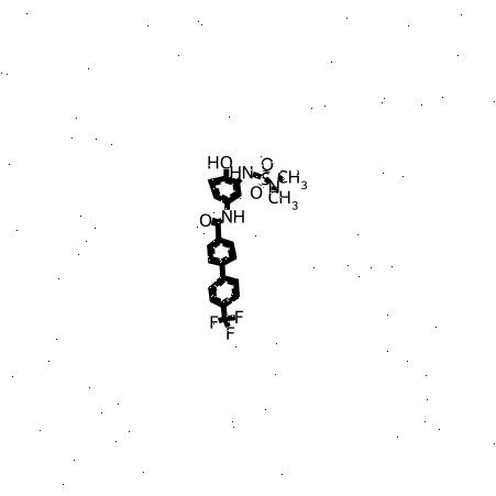 CN(C)S(=O)(=O)Nc1cc(NC(=O)c2ccc(-c3ccc(C(F)(F)F)cc3)cc2)ccc1O